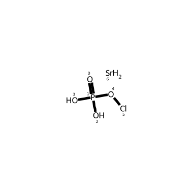 O=P(O)(O)OCl.[SrH2]